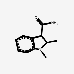 CC1C(C(N)=O)c2ccccc2N1C